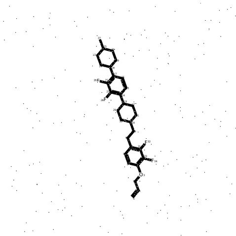 C=CCOc1ccc(CCC2CCC(c3ccc(C4CCC(C)CC4)c(F)c3F)CC2)c(F)c1F